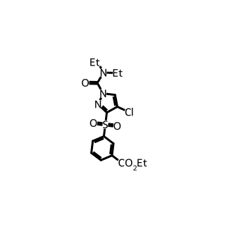 CCOC(=O)c1cccc(S(=O)(=O)c2nn(C(=O)N(CC)CC)cc2Cl)c1